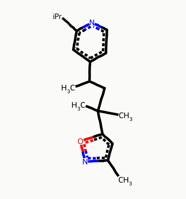 Cc1cc(C(C)(C)CC(C)c2ccnc(C(C)C)c2)on1